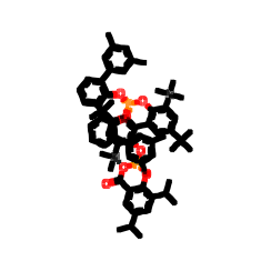 Cc1cc(C)cc(-c2cccc3c2op(Oc2c(-c4cc(C(C)(C)C)cc([Si](C)(C)C)c4OP4OC(=O)c5cc(C(C)C)cc(C(C)C)c5O4)cc(C(C)(C)C)cc2[Si](C)(C)C)oc2c(-c4cc(C)cc(C)c4)cccc23)c1